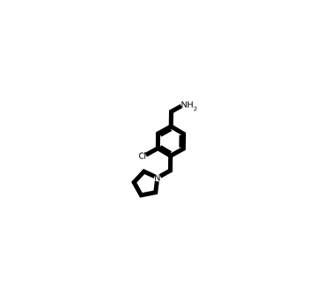 NCc1ccc(CN2CCCC2)c(Cl)c1